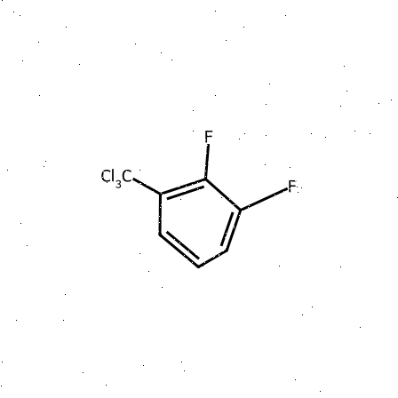 Fc1cccc(C(Cl)(Cl)Cl)c1F